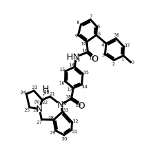 Cc1ccc(-c2ccccc2C(=O)Nc2ccc(C(=O)N3C[C@@H]4CCCN4Cc4ccccc43)cc2)cc1